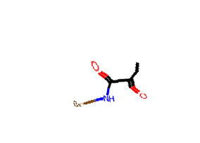 CC(=O)C(=O)NBr